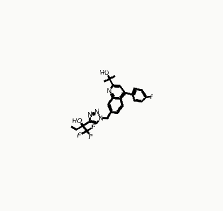 CCC(O)(c1cn(Cc2ccc3c(-c4ccc(F)cc4)cc(C(C)(C)O)nc3c2)nn1)C(F)(F)F